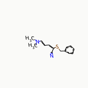 CN(C)C=CC=C(C#N)SCc1ccccc1